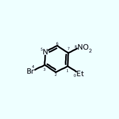 CCc1cc(Br)ncc1[N+](=O)[O-]